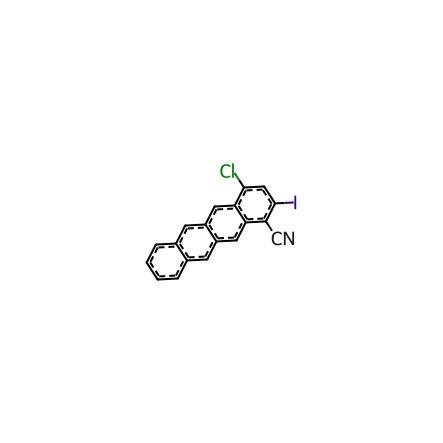 N#Cc1c(I)cc(Cl)c2cc3cc4ccccc4cc3cc12